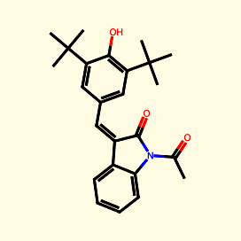 CC(=O)N1C(=O)C(=Cc2cc(C(C)(C)C)c(O)c(C(C)(C)C)c2)c2ccccc21